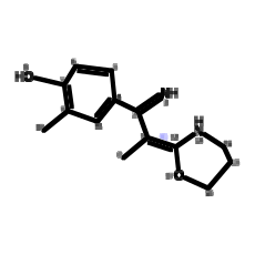 C/C(C(=N)c1ccc(O)c(C)c1)=C1/NCCCO1